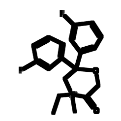 CC[N+]1(C)CC(c2cccc(F)c2)(c2cccc(F)c2)OCC1=O